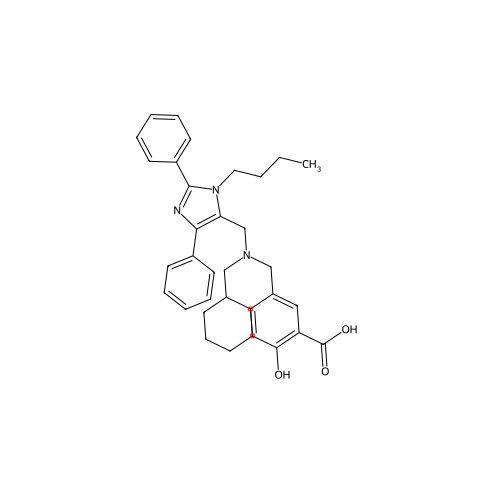 CCCCn1c(-c2ccccc2)nc(-c2ccccc2)c1CN(Cc1ccc(O)c(C(=O)O)c1)CC1CCCCC1